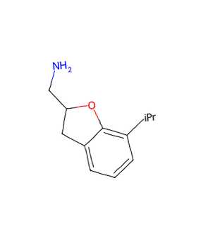 CC(C)c1cccc2c1OC(CN)C2